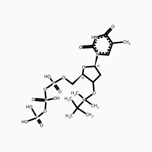 Cc1cn([C@H]2CC(O[Si](C)(C)C(C)(C)C)[C@@H](COP(=O)(O)OP(=O)(O)OP(=O)(O)O)O2)c(=O)[nH]c1=O